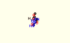 Cc1cc(Oc2ccccc2)ccc1N1C(=O)Nc2c(C(=O)NCCN3CCNC3=O)sc3nccc1c23